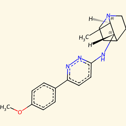 COc1ccc(-c2ccc(N[C@H]3C4CCN(CC4)[C@@H]3C)nn2)cc1